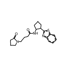 O=C(CCCN1CCCC1=O)NC1CCCC1c1nc2ccccc2s1